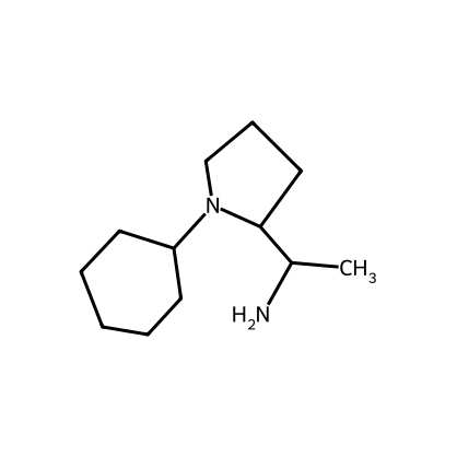 CC(N)C1CCCN1C1CCCCC1